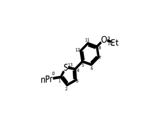 CCCc1ccc(-c2ccc(OCC)cc2)s1